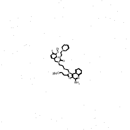 CCOc1cc(CN(CCCCn2c(CCOC)nc3c(N)nc4ccccc4c32)C(=O)NCCN2CCCCC2)ccc1F